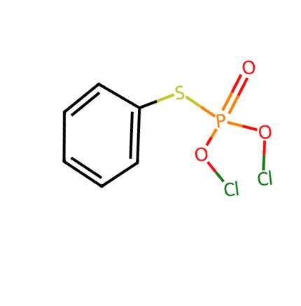 O=P(OCl)(OCl)Sc1ccccc1